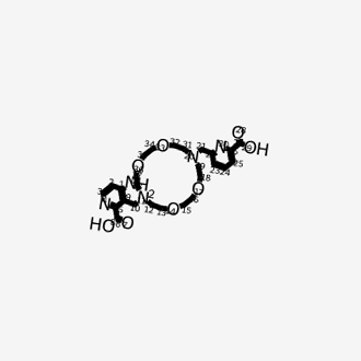 Nc1ccnc(C(=O)O)c1CN1CCOCCOCCN(Cc2cccc(C(=O)O)n2)CCOCCOCC1